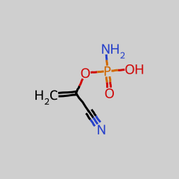 C=C(C#N)OP(N)(=O)O